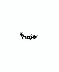 CC(C)(C)OC(=O)COc1ccc2c(c1)OCC(c1ccc(F)cc1)C2=O